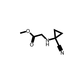 COC(=O)CNC1(C#N)CC1